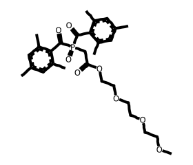 COCCOCCOCCOC(=O)CP(=O)(C(=O)c1c(C)cc(C)cc1C)C(=O)c1c(C)cc(C)cc1C